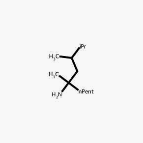 CCCCCC(C)(N)CC(C)C(C)C